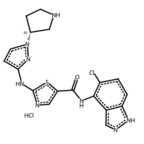 Cl.O=C(Nc1c(Cl)ccc2[nH]ncc12)c1cnc(Nc2ccn([C@@H]3CCNC3)n2)s1